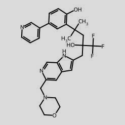 CC(C)(CC(O)(Cc1cc2cc(CN3CCOCC3)ncc2[nH]1)C(F)(F)F)c1cc(-c2cccnc2)ccc1O